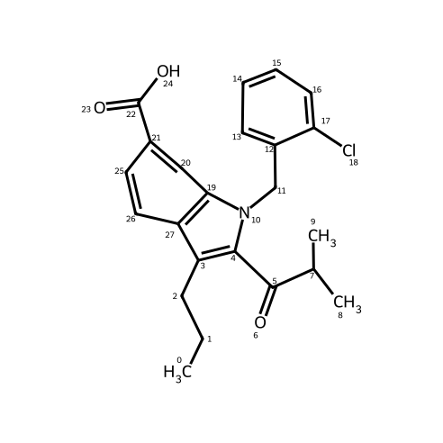 CCCc1c(C(=O)C(C)C)n(Cc2ccccc2Cl)c2cc(C(=O)O)ccc12